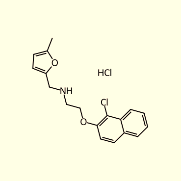 Cc1ccc(CNCCOc2ccc3ccccc3c2Cl)o1.Cl